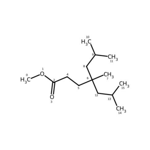 COC(=O)CCC(C)(CC(C)C)CC(C)C